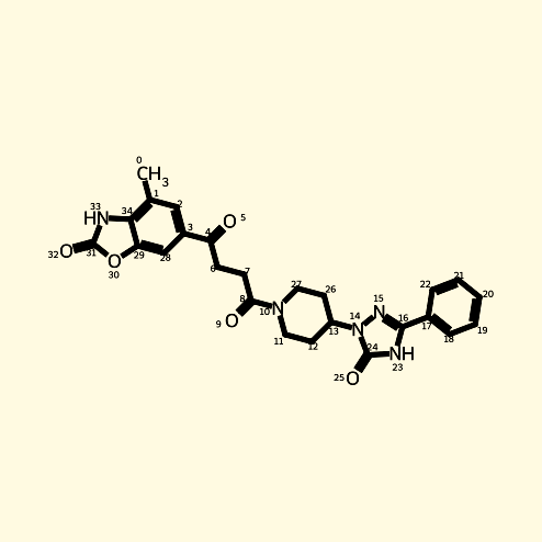 Cc1cc(C(=O)CCC(=O)N2CCC(n3nc(-c4ccccc4)[nH]c3=O)CC2)cc2oc(=O)[nH]c12